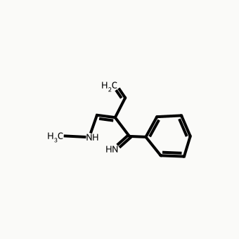 C=C/C(=C/NC)C(=N)c1ccccc1